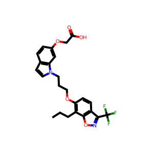 CCCc1c(OCCCn2ccc3ccc(OCC(=O)O)cc32)ccc2c(C(F)(F)F)noc12